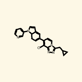 Clc1c(C2=CCC3C(=C2)C=CN3c2cccnc2)ccn2c(CC3CC3)nnc12